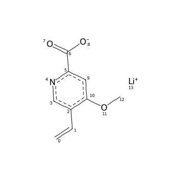 C=Cc1cnc(C(=O)[O-])cc1OC.[Li+]